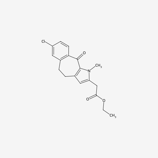 CCOC(=O)Cc1cc2c(n1C)C(=O)c1ccc(Cl)cc1CC2